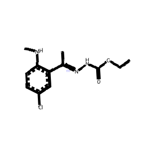 CCOC(=O)N/N=C(\C)c1cc(Cl)ccc1NC